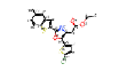 CCOC(=O)Cc1nc(-c2cc3cc(C)ccc3s2)oc1-c1ccc(Cl)s1